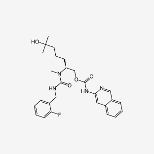 CN(C(=O)NCc1ccccc1F)[C@@H](CCCC(C)(C)O)COC(=O)Nc1cc2ccccc2cn1